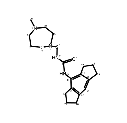 CN1CCCN(SNC(=O)Nc2c3c(cc4c2CCC4)CCC3)CC1